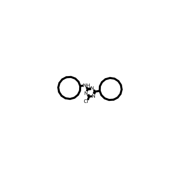 Clc1nc(NC2CCCCCCCCCCCCCC2)nc(C2CCCCCCCCCCCCCC2)n1